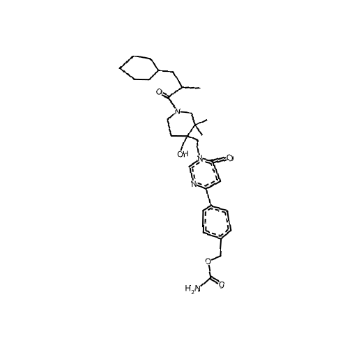 CC(CC1CCCCC1)C(=O)N1CCC(O)(Cn2cnc(-c3ccc(COC(N)=O)cc3)cc2=O)C(C)(C)C1